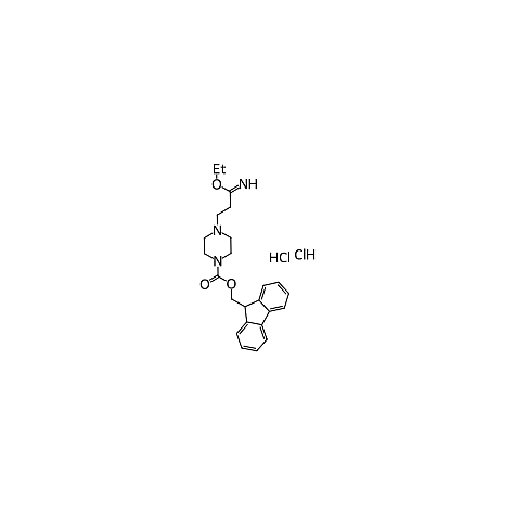 CCOC(=N)CCN1CCN(C(=O)OCC2c3ccccc3-c3ccccc32)CC1.Cl.Cl